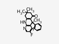 CC1(C)CC(=O)C2=C(C1)Nc1ncc(F)c(F)c1[C@]2(C)c1ccccc1